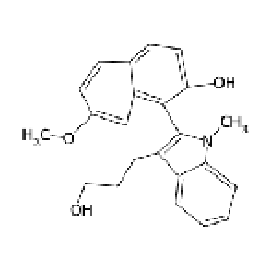 COc1ccc2ccc(O)c(-c3c(CCCO)c4ccccc4n3C)c2c1